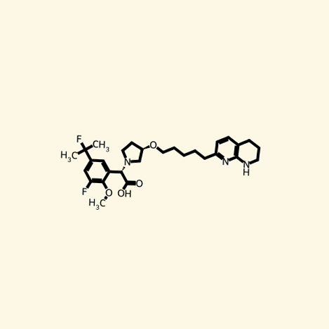 COc1c(F)cc(C(C)(C)F)cc1[C@@H](C(=O)O)N1CC[C@@H](OCCCCCc2ccc3c(n2)NCCC3)C1